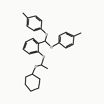 Cc1ccc(OC(Oc2ccc(C)cc2)c2ccccc2OC(C)OC2CCCCC2)cc1